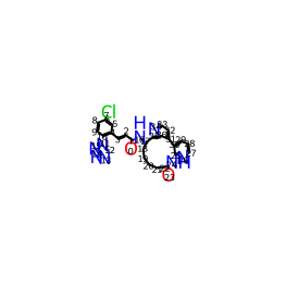 O=C(/C=C/c1cc(Cl)ccc1-n1cnnn1)N[C@H]1CCCCC(=O)Nc2ncccc2-c2ccnc1c2